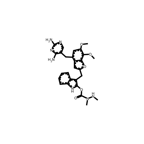 CNN(C)C(=O)Oc1[nH]c2ccccc2c1Cc1cc2c(Cc3cnc(N)nc3N)cc(OC)c(OC)c2o1